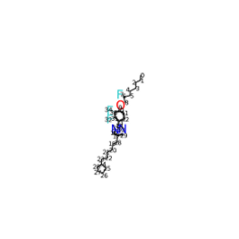 CCCCCC[C@@H](F)COc1ccc(-c2ncc(CCCCCCC3CCCC3)cn2)c(F)c1F